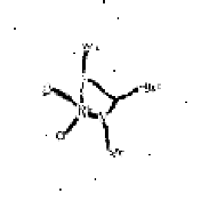 CCCCC1N(C(C)C)[N+](Cl)(Cl)N1C(C)C